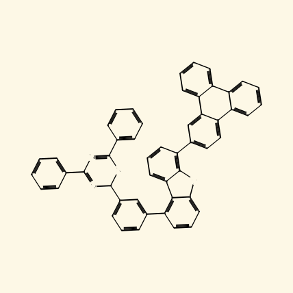 c1ccc(C2=NC(c3cccc(-c4cccc5oc6c(-c7ccc8c9ccccc9c9ccccc9c8c7)cccc6c45)c3)NC(c3ccccc3)=N2)cc1